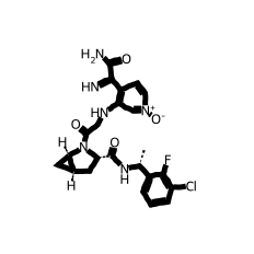 C[C@@H](NC(=O)[C@@H]1C[C@H]2C[C@H]2N1C(=O)CNc1c[n+]([O-])ccc1C(=N)C(N)=O)c1cccc(Cl)c1F